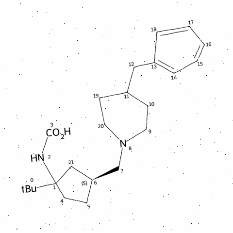 CC(C)(C)C1(NC(=O)O)CC[C@H](CN2CCC(Cc3ccccc3)CC2)C1